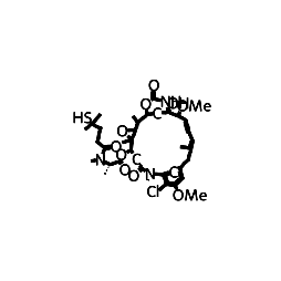 COc1cc2cc(c1Cl)N(C)C(=O)CC(OC(=O)[C@H](C)N(C)C(=O)CCC(C)(C)S)C1(C)OC1C(C)C1CC(O)(NC(=O)O1)C(OC)/C=C/C=C(\C)C2